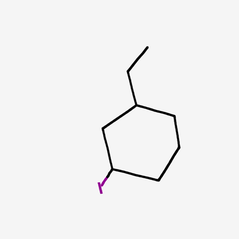 CCC1CCCC(I)C1